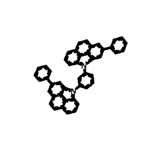 c1ccc(-c2cc3ccc4cccc5c4c3c(c2)n5-c2cccc(-n3c4cccc5ccc6cc(-c7ccccc7)cc3c6c54)c2)cc1